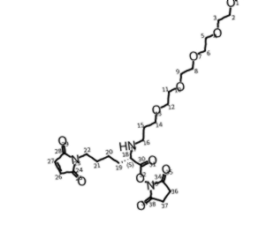 COCCOCCOCCOCCOCCCN[C@@H](CCCCN1C(=O)C=CC1=O)C(=O)ON1C(=O)CCC1=O